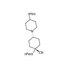 CCCCCCC1CCN([C@H]2CC[C@@](C#N)(CCCCC)CC2)CC1